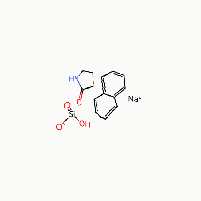 O=C1CCCN1.O=[Si]([O-])O.[Na+].c1ccc2ccccc2c1